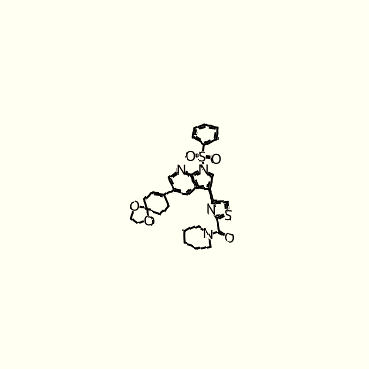 O=C(c1nc(-c2cn(S(=O)(=O)c3ccccc3)c3ncc(C4=CCC5(CC4)OCCO5)cc23)cs1)N1CCCCC1